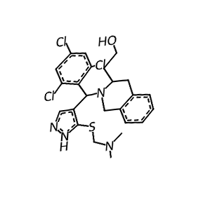 CN(C)CSc1[nH]ncc1C(c1c(Cl)cc(Cl)cc1Cl)N1Cc2ccccc2CC1CCO